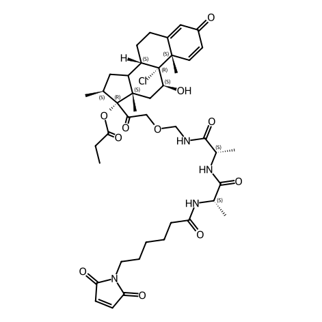 CCC(=O)O[C@]1(C(=O)COCNC(=O)[C@H](C)NC(=O)[C@H](C)NC(=O)CCCCCN2C(=O)C=CC2=O)[C@@H](C)CC2[C@@H]3CCC4=CC(=O)C=C[C@]4(C)[C@@]3(Cl)[C@@H](O)C[C@@]21C